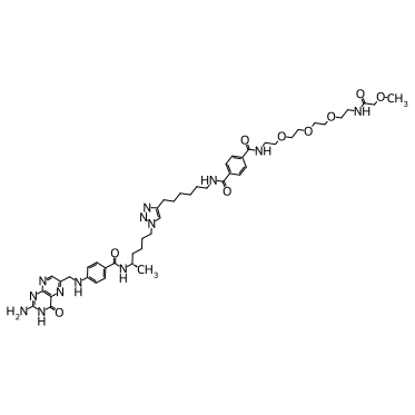 COCC(=O)NCCOCCOCCOCCNC(=O)c1ccc(C(=O)NCCCCCCc2cn(CCCC[C@@H](C)NC(=O)c3ccc(NCc4cnc5nc(N)[nH]c(=O)c5n4)cc3)nn2)cc1